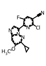 COc1cc2ncc(-c3nc(Cl)c(C#N)cc3F)n2nc1C1CC1